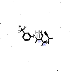 C#CC(C)/N=C(C)\C(C=N)=C(/C)Nc1cccc(C(F)(F)F)c1